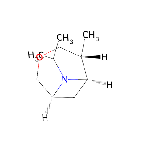 CC(C)N1[C@@H]2COC[C@H](C)[C@H]1C2